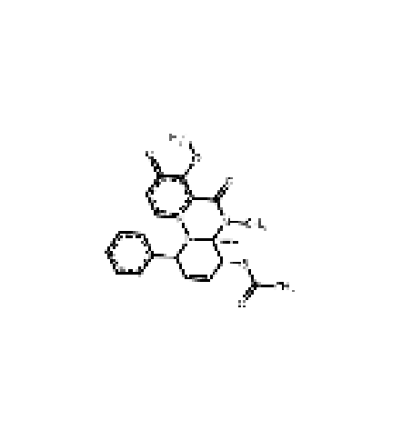 COc1c2n(ccc1=O)N1[C@H](c3ccccc3)C=C[C@H](SC(C)=O)[C@H]1N(C)C2=O